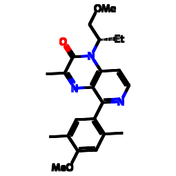 CC[C@@H](COC)n1c(=O)c(C)nc2c(-c3cc(C)c(OC)cc3C)nccc21